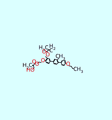 C=C(C)C(=O)OCc1cc(-c2ccc(-c3ccc(OCCCC)cc3)c(CC)c2)ccc1OCCOC(=O)C(=C)CO